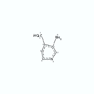 Bc1cnccc1C(=O)O